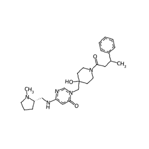 CC(CC(=O)N1CCC(O)(Cn2cnc(NC[C@@H]3CCCN3C)cc2=O)CC1)c1ccccc1